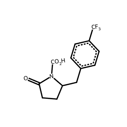 O=C(O)N1C(=O)CCC1Cc1ccc(C(F)(F)F)cc1